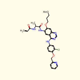 C=CC(=O)NC(C)C(=O)Nc1cc2c(Nc3ccc(OCc4ccccn4)c(Cl)c3)ncnc2cc1OCCCOC